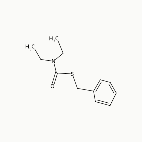 CCN(CC)C(=O)SCc1ccccc1